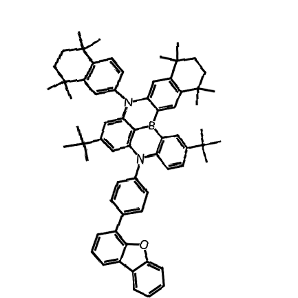 CC(C)(C)c1ccc2c(c1)B1c3cc4c(cc3N(c3ccc5c(c3)C(C)(C)CCC5(C)C)c3cc(C(C)(C)C)cc(c31)N2c1ccc(-c2cccc3c2oc2ccccc23)cc1)C(C)(C)CCC4(C)C